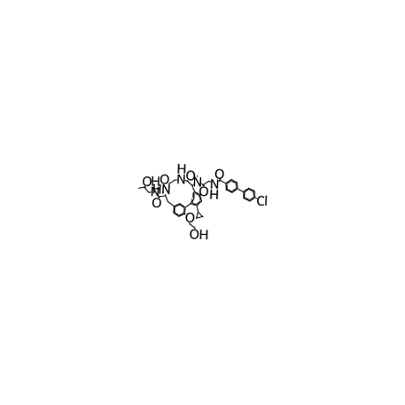 CC(=O)CNC(=O)C1Cc2ccc(OCCO)c(c2)-c2cc(ccc2C2CC2)C(N(C)C(=O)CNC(=O)c2ccc(-c3ccc(Cl)cc3)cc2)C(=O)NCC(=O)N1